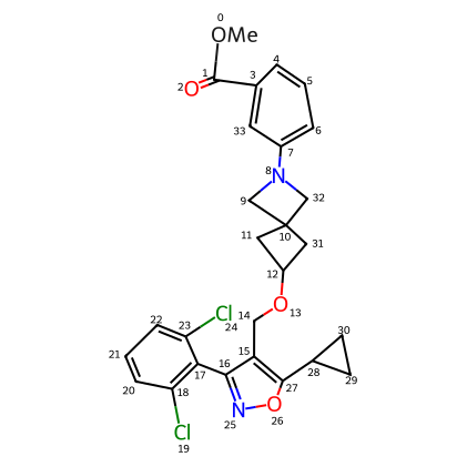 COC(=O)c1cccc(N2CC3(CC(OCc4c(-c5c(Cl)cccc5Cl)noc4C4CC4)C3)C2)c1